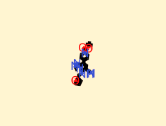 CC(C)(C)OC(=O)N1CC=C(c2cc(C#N)c(NCc3ccco3)n3cnnc23)CC1